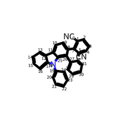 N#Cc1cccc(C#N)c1-c1ccc2c3ccccc3n(-c3ccccc3)c2c1-c1ccccc1